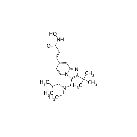 CCN(Cc1c(C(C)(C)C)nc2cc(C=CC(=O)NO)ccn12)CC(C)C